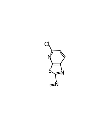 C=Nc1nc2ccc(Cl)nc2s1